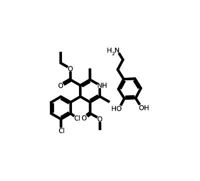 CCOC(=O)C1=C(C)NC(C)=C(C(=O)OC)C1c1cccc(Cl)c1Cl.NCCc1ccc(O)c(O)c1